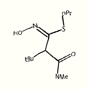 CCCSC(=NO)C(C(=O)NC)C(C)(C)C